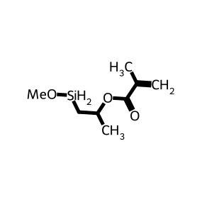 C=C(C)C(=O)OC(C)C[SiH2]OC